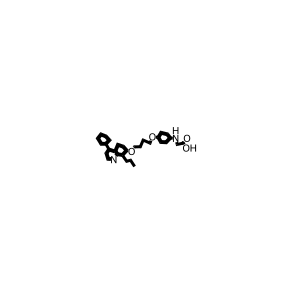 CCCc1c(OCCCCOc2ccc(NCC(=O)O)cc2)ccc2c(-c3ccccc3)ccnc12